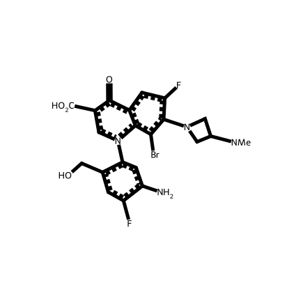 CNC1CN(c2c(F)cc3c(=O)c(C(=O)O)cn(-c4cc(N)c(F)cc4CO)c3c2Br)C1